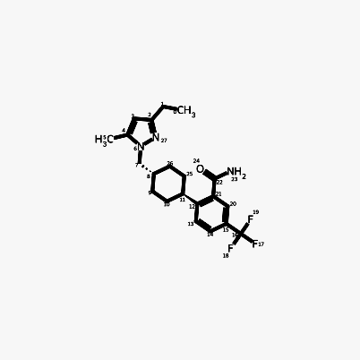 CCc1cc(C)n(C[C@H]2CC[C@H](c3ccc(C(F)(F)F)cc3C(N)=O)CC2)n1